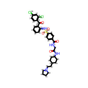 O=C(CNC(=O)c1ccc(S(=O)(=O)Nc2ccccc2C(=O)c2ccc(Cl)cc2Cl)cc1)NC1CCC(CCN2CCCC2)CC1